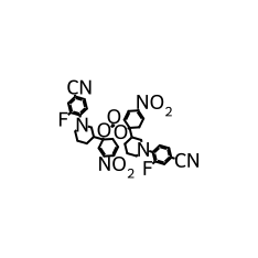 N#Cc1ccc(N2CCCC(C3(OC(=O)OC4(C5CCCN(c6ccc(C#N)cc6F)C5)C=CC([N+](=O)[O-])=CC4)C=CC([N+](=O)[O-])=CC3)C2)c(F)c1